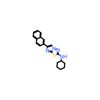 c1ccc2cc(-c3cn4nc(NC5CCCCC5)sc4n3)ccc2c1